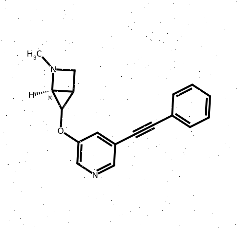 CN1CC2C(Oc3cncc(C#Cc4ccccc4)c3)[C@H]21